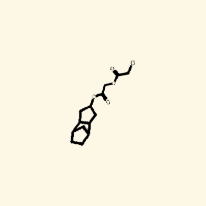 O=C(CCl)OCC(=O)OC1CC2C3CCC(C3)C2C1